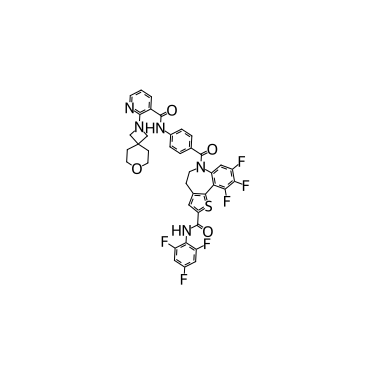 O=C(Nc1c(F)cc(F)cc1F)c1cc2c(s1)-c1c(cc(F)c(F)c1F)N(C(=O)c1ccc(NC(=O)c3cccnc3N3CC4(CCOCC4)C3)cc1)CC2